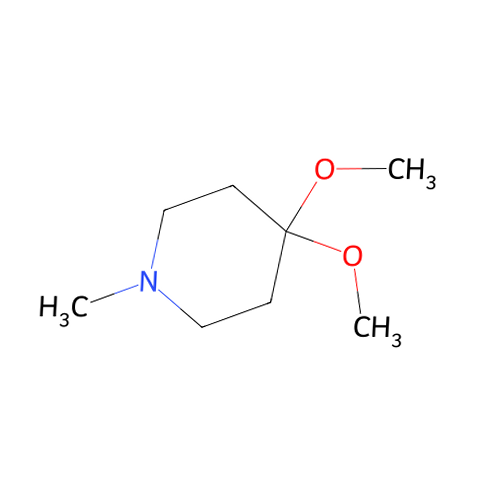 COC1(OC)CCN(C)CC1